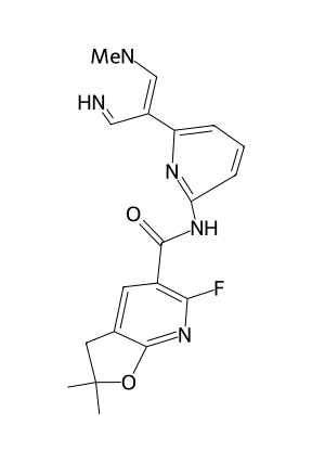 CN/C=C(\C=N)c1cccc(NC(=O)c2cc3c(nc2F)OC(C)(C)C3)n1